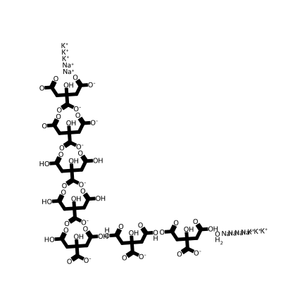 O.O=C(O)CC(O)(CC(=O)O)C(=O)[O-].O=C(O)CC(O)(CC(=O)O)C(=O)[O-].O=C(O)CC(O)(CC(=O)O)C(=O)[O-].O=C(O)CC(O)(CC(=O)O)C(=O)[O-].O=C([O-])CC(O)(CC(=O)O)C(=O)[O-].O=C([O-])CC(O)(CC(=O)[O-])C(=O)[O-].O=C([O-])CC(O)(CC(=O)[O-])C(=O)[O-].[K+].[K+].[K+].[K+].[K+].[K+].[Na+].[Na+].[Na+].[Na+].[Na+].[Na+]